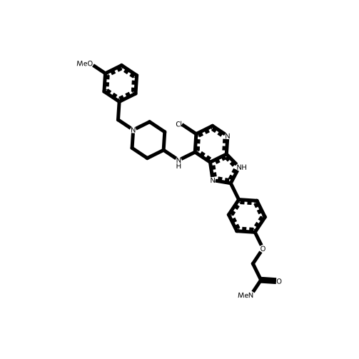 CNC(=O)COc1ccc(-c2nc3c(NC4CCN(Cc5cccc(OC)c5)CC4)c(Cl)cnc3[nH]2)cc1